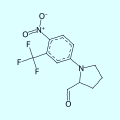 O=CC1CCCN1c1ccc([N+](=O)[O-])c(C(F)(F)F)c1